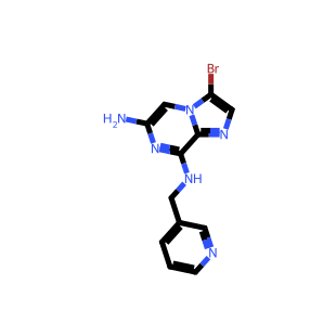 Nc1cn2c(Br)cnc2c(NCc2cccnc2)n1